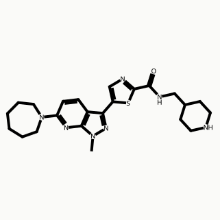 Cn1nc(-c2cnc(C(=O)NCC3CCNCC3)s2)c2ccc(N3CCCCCC3)nc21